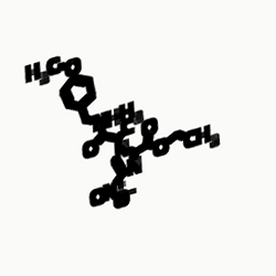 CCOC(=O)c1nc([N+](=O)[O-])cn1C(C)C(=O)NCc1ccc(OC)cc1